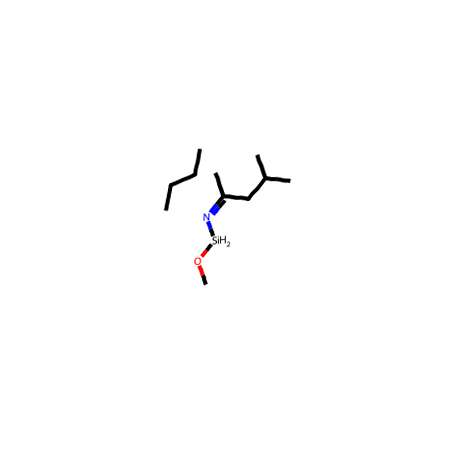 CCCC.CO[SiH2]N=C(C)CC(C)C